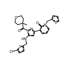 CC1(C(=O)n2nc(-c3cccn(Cc4cccs4)c3=O)cc2NCc2ccc(Cl)s2)CCOCC1